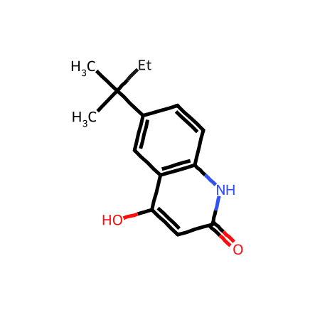 CCC(C)(C)c1ccc2[nH]c(=O)cc(O)c2c1